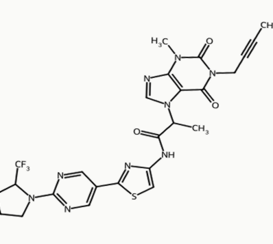 CC#CCn1c(=O)c2c(ncn2C(C)C(=O)Nc2csc(-c3cnc(N4CCCC4C(F)(F)F)nc3)n2)n(C)c1=O